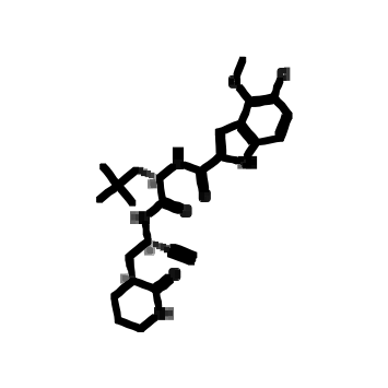 C#C[C@H](C[C@@H]1CCCNC1=O)NC(=O)[C@H](CC(C)(C)C)NC(=O)c1cc2c(OC)c(Cl)ccc2[nH]1